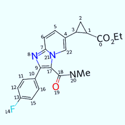 CCOC(=O)C1CC1c1ccc2nc(-c3ccc(F)cc3)c(C(=O)NC)n2c1